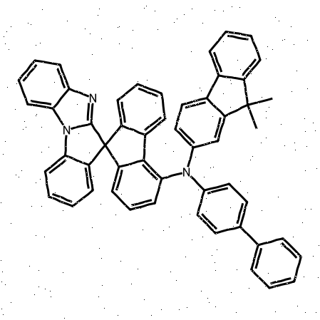 CC1(C)c2ccccc2-c2ccc(N(c3ccc(-c4ccccc4)cc3)c3cccc4c3-c3ccccc3C43c4ccccc4-n4c3nc3ccccc34)cc21